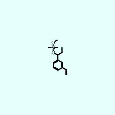 C=Cc1cccc(C(CC)O[Si](C)(C)OC)c1